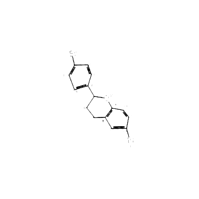 Brc1ccc(C2CCc3cc(Br)ccc3O2)cc1